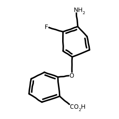 Nc1ccc(Oc2ccccc2C(=O)O)cc1F